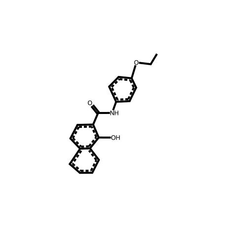 CCOc1ccc(NC(=O)c2ccc3ccccc3c2O)cc1